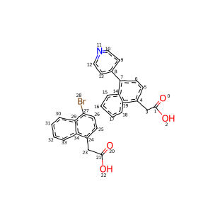 O=C(O)Cc1ccc(-c2ccncc2)c2ccccc12.O=C(O)Cc1ccc(Br)c2ccccc12